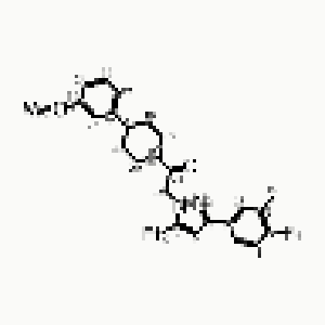 CCc1cc(-c2ccc(F)c(C)c2)nn1CC(=O)N1CCC(c2cccc(OC)c2)CC1